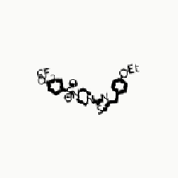 CCOc1ccc(Cc2csc(N3CCN(S(=O)(=O)c4ccc(OC(F)(F)F)cc4)CC3)n2)cc1